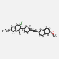 CCCCC1=Cc2cc(F)c(-c3ccc(C#Cc4ccc5cc(OCC)ccc5c4)cc3)c(C)c2C1